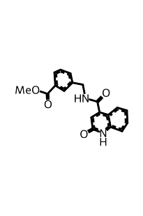 COC(=O)c1cccc(CNC(=O)c2cc(=O)[nH]c3ccccc23)c1